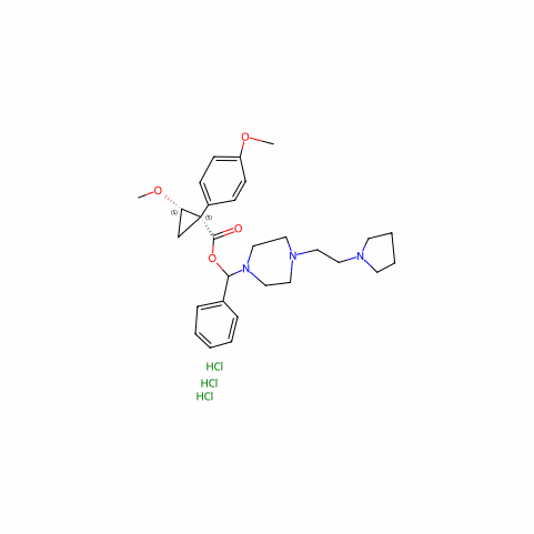 COc1ccc([C@@]2(C(=O)OC(c3ccccc3)N3CCN(CCN4CCCC4)CC3)C[C@@H]2OC)cc1.Cl.Cl.Cl